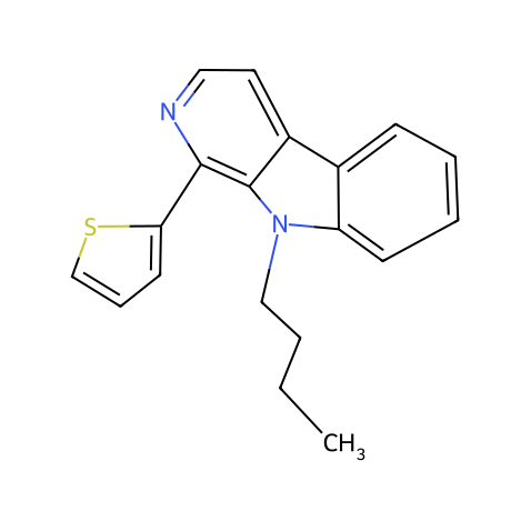 CCCCn1c2ccccc2c2ccnc(-c3cccs3)c21